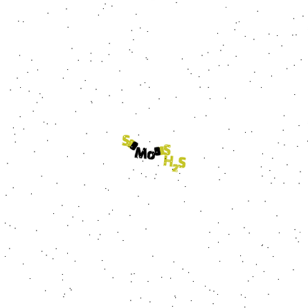 S.[S]=[Mo]=[S]